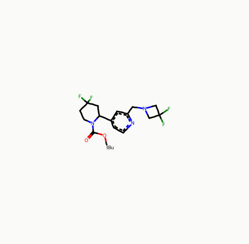 CC(C)(C)OC(=O)N1CCC(F)(F)CC1c1ccnc(CN2CC(F)(F)C2)c1